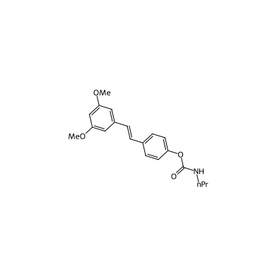 CCCNC(=O)Oc1ccc(C=Cc2cc(OC)cc(OC)c2)cc1